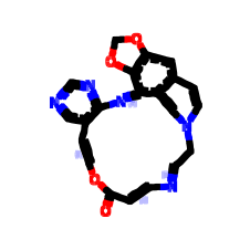 O=C1/C=C/N=C/CN2C=Cc3cc4c(/c(c3=C2)=N\c2ncncc2/C=C/O1)OCO4